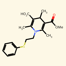 COC(=O)C1=C(C)N(CCSc2ccccc2)C(C)=C(C(=O)O)C1C